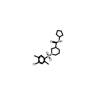 Cc1cc(S(=O)(=O)N2CCCC(C(=O)NC3CCCC3)C2)c(C)cc1Cl